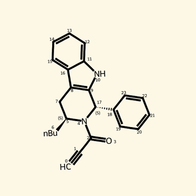 C#CC(=O)N1[C@@H](CCCC)Cc2c([nH]c3ccccc23)[C@@H]1c1ccccc1